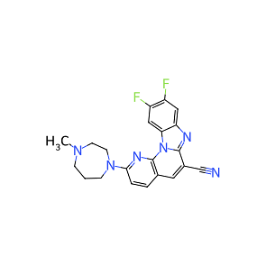 CN1CCCN(c2ccc3cc(C#N)c4nc5cc(F)c(F)cc5n4c3n2)CC1